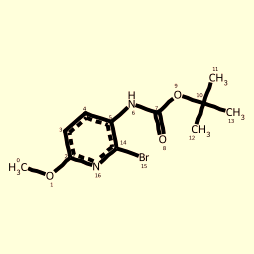 COc1ccc(NC(=O)OC(C)(C)C)c(Br)n1